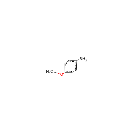 COc1cc[c]([BiH2])cc1